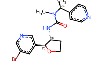 C[C@@H](c1ccncc1)N(C)C(=O)N[C@@H]1CCO[C@H]1c1cncc(Br)c1